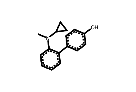 CN(c1ccccc1-c1ccc(O)cc1)C1CC1